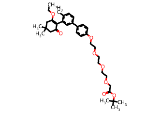 CCOC1=C(c2cc(-c3ccc(OCCOCCOCCOCC(=O)OC(C)(C)C)cc3)ccc2C)C(=O)CC(C)(C)C1